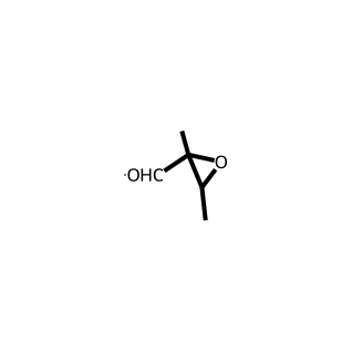 CC1OC1(C)[C]=O